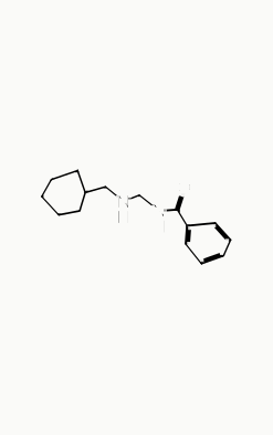 O=C(NCNCC1CCCCC1)c1ccccc1